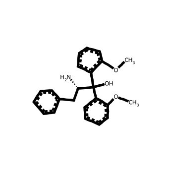 COc1ccccc1C(O)(c1ccccc1OC)[C@@H](N)Cc1ccccc1